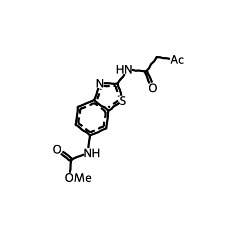 COC(=O)Nc1ccc2nc(NC(=O)CC(C)=O)sc2c1